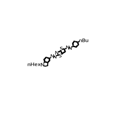 CCCCCCN1CCc2cc(N=Nc3nc4sc(N=Nc5ccc(CCCC)cc5)cc4s3)ccc21